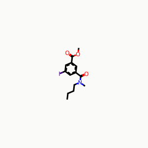 CCCCN(C)C(=O)c1cc(I)cc(C(=O)OC)c1